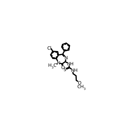 COCCCNC(=S)NC1N=C(c2ccccc2)c2cc(Cl)ccc2N(C)C1=O